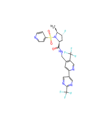 C[C@H]1[C@H](F)C[C@@H](C(=O)NCc2cc(-c3cnc(C(F)(F)F)nc3)ncc2C(F)(F)F)N1S(=O)(=O)c1ccncc1